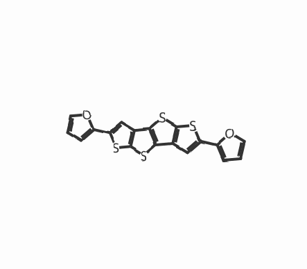 c1coc(-c2cc3c(s2)sc2c4cc(-c5ccco5)sc4sc32)c1